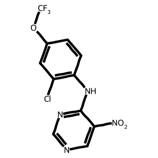 O=[N+]([O-])c1cncnc1Nc1ccc(OC(F)(F)F)cc1Cl